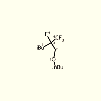 CCCCOCC(F)(C(C)CC)C(F)(F)F